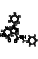 O=C(NCc1ccccc1)c1nn(-c2ccccc2)c2nc[nH]c(=O)c12